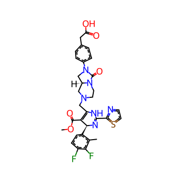 COC(=O)C1=C(CN2CCN3C(=O)N(c4ccc(CC(=O)O)cc4)C[C@@H]3C2)NC(c2nccs2)=N[C@H]1c1ccc(F)c(F)c1C